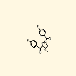 C[C@H]1CN(C(=O)c2ccc(F)cc2)CC1C(=O)c1ccc(F)cc1